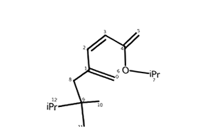 C=C(/C=C\C(=C)OC(C)C)CC(C)(C)C(C)C